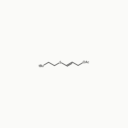 CC(=O)OCC=CSCCC(C)(C)C